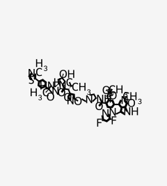 Cc1ncsc1-c1ccc([C@]2(C)NC([C@H]3C[C@@H](O)CN3C(=O)[C@@H](c3cc(OCCN4CC[C@H](NC(=O)c5cc6c(cc5CS(C)(=O)=O)-c5cn(C)c(=O)c7[nH]cc(c57)CN6c5ncc(F)cc5F)C4)no3)C(C)C)=NC2=O)cc1